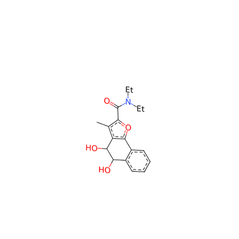 CCN(CC)C(=O)c1oc2c(c1C)C(O)C(O)c1ccccc1-2